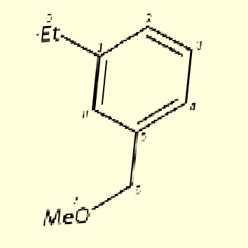 C[CH]c1cccc(COC)c1